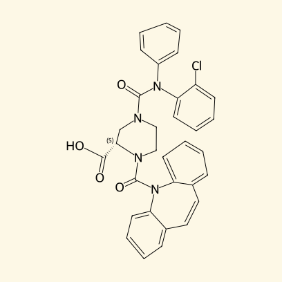 O=C(O)[C@@H]1CN(C(=O)N(c2ccccc2)c2ccccc2Cl)CCN1C(=O)N1c2ccccc2C=Cc2ccccc21